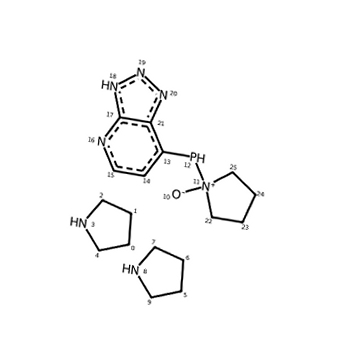 C1CCNC1.C1CCNC1.[O-][N+]1(Pc2ccnc3[nH]nnc23)CCCC1